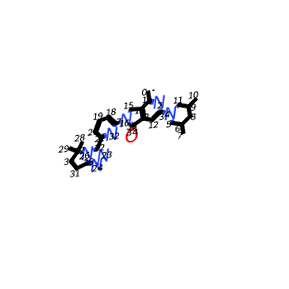 [CH2]c1nc(N2CC(C)CC(C)C2)cc2c1CN(c1cccc(-c3nnc4n3C(C)(C)CC4)n1)C2=O